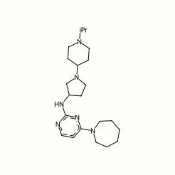 CC(C)N1CCC(N2CCC(Nc3nccc(N4CCCCCC4)n3)C2)CC1